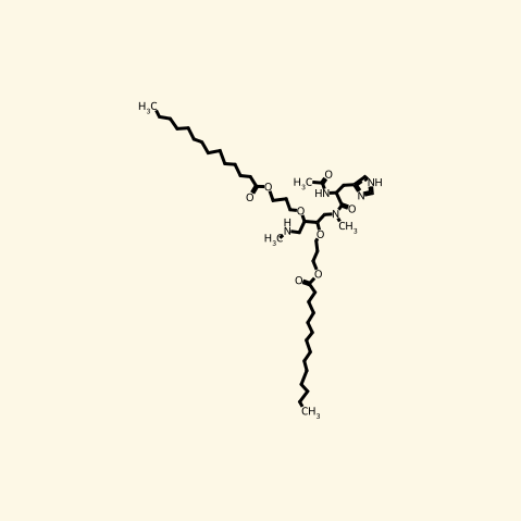 CCCCCCCCCCCCCC(=O)OCCCOC(CNC)C(CN(C)C(=O)C(Cc1c[nH]cn1)NC(C)=O)OCCCOC(=O)CCCCCCCCCCCCC